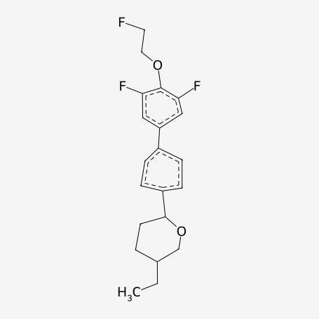 CCC1CCC(c2ccc(-c3cc(F)c(OCCF)c(F)c3)cc2)OC1